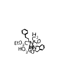 CCOC(=O)[C@H](CCc1ccccc1)NC(C)C(=O)[C@H]1N[C@@H](OC(=O)O)Cc2ccccc21